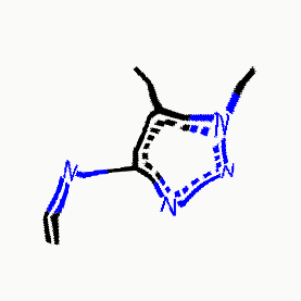 C=Nc1nnn(C)c1C